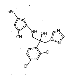 CCCc1cc(C#N)c(NCC(O)(Cn2cncn2)c2ccc(Cl)cc2Cl)s1